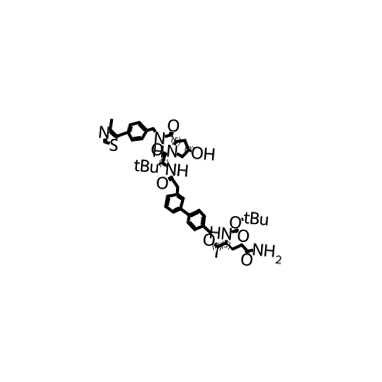 Cc1ncsc1-c1ccc(CNC(=O)[C@@H]2C[C@@H](O)CN2C(=O)[C@@H](NC(=O)Cc2cccc(-c3ccc(CO[C@H](C)[C@H](CCC(N)=O)NC(=O)OC(C)(C)C)cc3)c2)C(C)(C)C)cc1